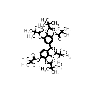 CC(C)(C)C(=O)Oc1cc(C(=O)c2ccc(OC(=O)C(C)(C)C)c(OC(=O)C(C)(C)C)c2OC(=O)C(C)(C)C)cc(OC(=O)C(C)(C)C)c1OC(=O)C(C)(C)C